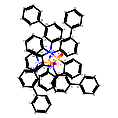 O=P1(c2ccccc2-c2ccccc2P2(=O)N(c3cccc(-c4ccccc4)c3)c3ccccc3N2c2cccc(-c3ccccc3)c2)N(c2cccc(-c3ccccc3)c2)c2ccccc2N1c1cccc(-c2ccccc2)c1